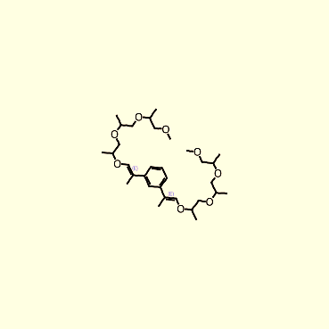 COCC(C)OCC(C)OCC(C)O/C=C(\C)c1cccc(/C(C)=C/OC(C)COC(C)COC(C)COC)c1